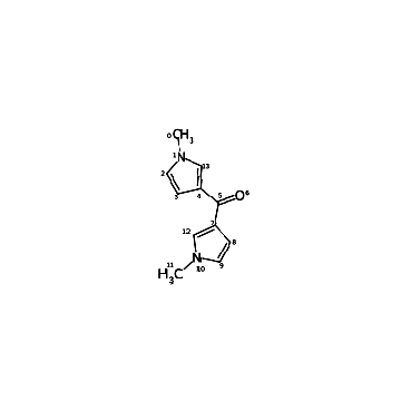 Cn1ccc(C(=O)c2ccn(C)c2)c1